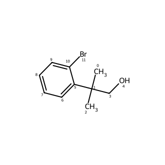 CC(C)(CO)c1ccccc1Br